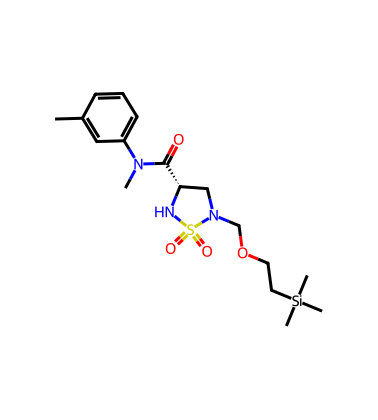 Cc1cccc(N(C)C(=O)[C@@H]2CN(COCC[Si](C)(C)C)S(=O)(=O)N2)c1